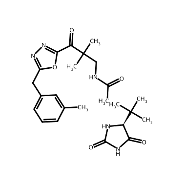 CC(=O)NCC(C)(C)C(=O)c1nnc(Cc2cccc(C)c2)o1.CC(C)(C)[C@@H]1NC(=O)NC1=O